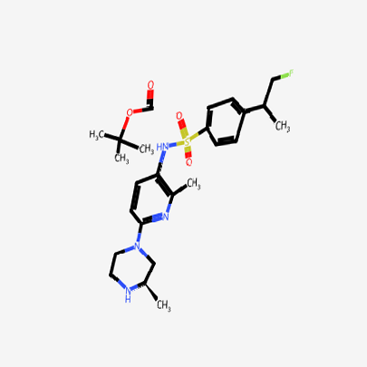 CC(C)(C)OC=O.Cc1nc(N2CCN[C@H](C)C2)ccc1NS(=O)(=O)c1ccc(C(C)CF)cc1